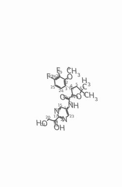 COc1c([C@@H]2CC(C)(C)O[C@H]2C(=O)Nc2cnc([C@@H](O)CO)nc2)ccc(F)c1F